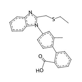 CCSCc1nc2ccccc2n1-c1ccc(-c2ccccc2C(=O)O)c(C)c1